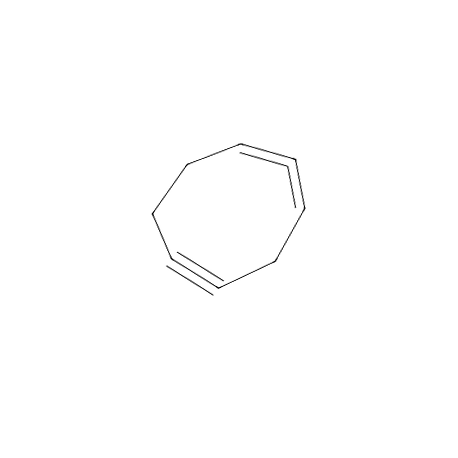 C1=CCC#CCCC=1